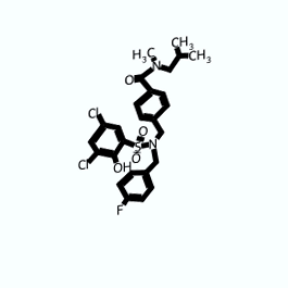 CC(C)CN(C)C(=O)c1ccc(CN(Cc2ccc(F)cc2)S(=O)(=O)c2cc(Cl)cc(Cl)c2O)cc1